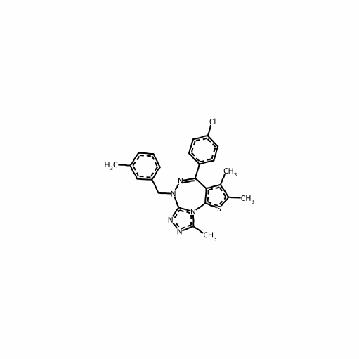 Cc1cccc(CN2N=C(c3ccc(Cl)cc3)c3c(sc(C)c3C)-n3c(C)nnc32)c1